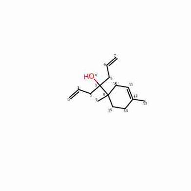 C=CCC(O)(CC=C)C1(C)CC=C(C)CC1